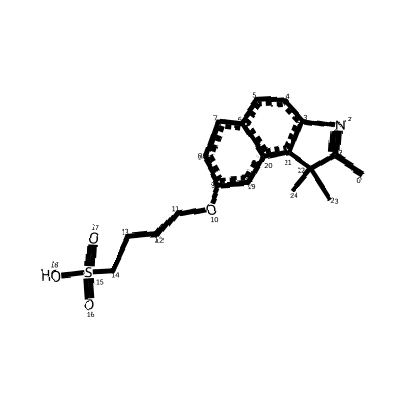 CC1=Nc2ccc3ccc(OCCCCS(=O)(=O)O)cc3c2C1(C)C